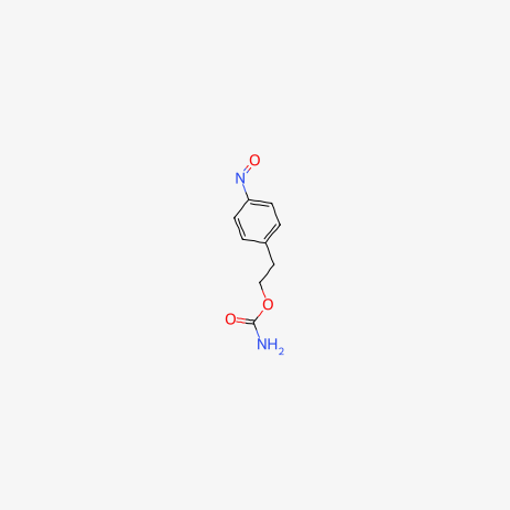 NC(=O)OCCc1ccc(N=O)cc1